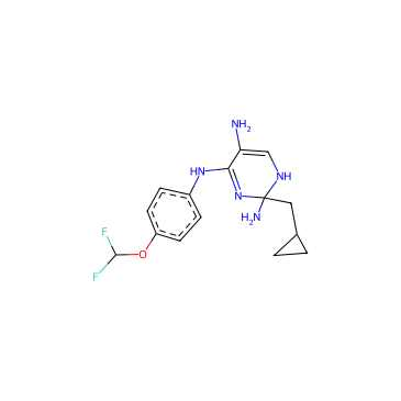 NC1=CNC(N)(CC2CC2)N=C1Nc1ccc(OC(F)F)cc1